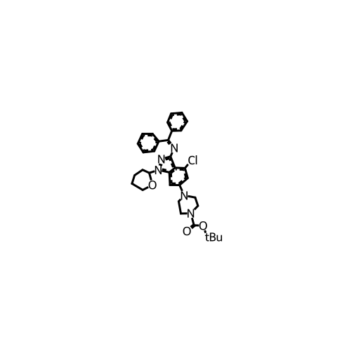 CC(C)(C)OC(=O)N1CCN(c2cc(Cl)c3c(N=C(c4ccccc4)c4ccccc4)nn(C4CCCCO4)c3c2)CC1